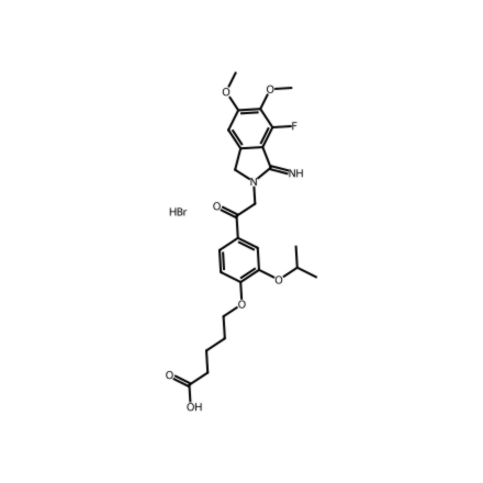 Br.COc1cc2c(c(F)c1OC)C(=N)N(CC(=O)c1ccc(OCCCCC(=O)O)c(OC(C)C)c1)C2